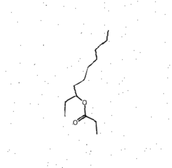 CCCCCCCC(CC)OC(=O)CC